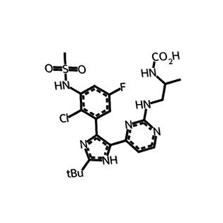 CC(CNc1nccc(-c2[nH]c(C(C)(C)C)nc2-c2cc(F)cc(NS(C)(=O)=O)c2Cl)n1)NC(=O)O